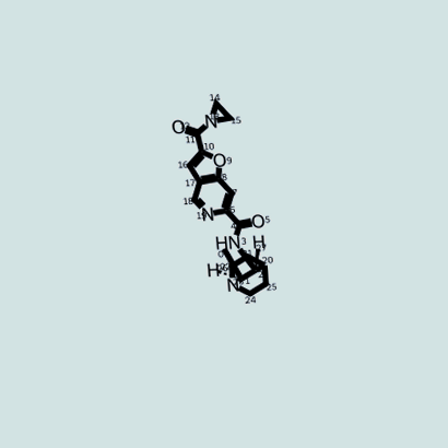 C[C@H]1[C@H](NC(=O)c2cc3oc(C(=O)N4CC4)cc3cn2)C2CCN1CC2